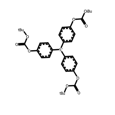 CC(C)COC(=O)Oc1ccc([S+](c2ccc(OC(=O)OC(C)(C)C)cc2)c2ccc(OC(=O)OC(C)(C)C)cc2)cc1